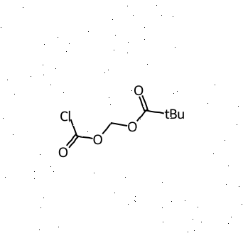 CC(C)(C)C(=O)OCOC(=O)Cl